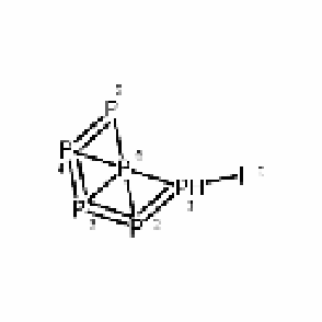 I[PH]1=P2=P3=P4=PP4321